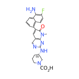 Cn1c(=O)c(-c2cccc3c(N)c(F)ccc23)cc2cnc(N[C@H]3CCCN(C(=O)O)C3)nc21